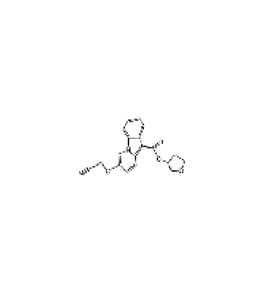 N#CCOc1ccc2c(C(=O)OC3CCOC3)c3ccccc3n2c1